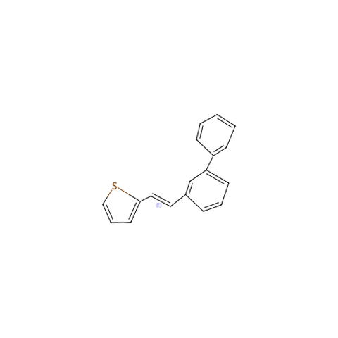 C(=C\c1cccs1)/c1cccc(-c2ccccc2)c1